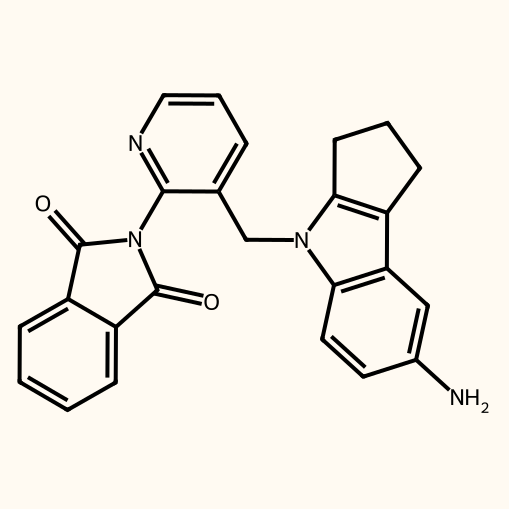 Nc1ccc2c(c1)c1c(n2Cc2cccnc2N2C(=O)c3ccccc3C2=O)CCC1